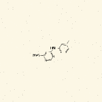 CSc1cc(Nc2cccc(C)c2)ncn1